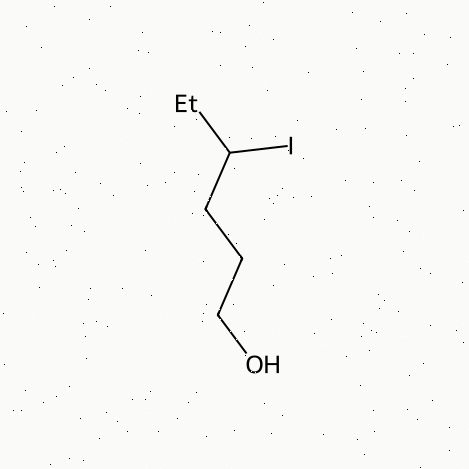 CCC(I)CCCO